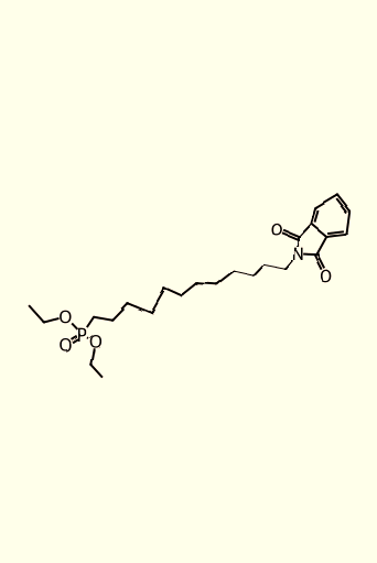 CCOP(=O)(CCCCCCCCCCCCN1C(=O)c2ccccc2C1=O)OCC